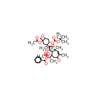 CC(=O)O[C@@H](C(=O)[C@@]1(C)C[C@]2(OC(C)=O)COC2C[C@@H]1OC(=O)OC(C)(C)C)C1C(C)(C)C=C(C)C(=O)C[C@@]1(O)[C@H](C)OC(=O)c1ccccc1